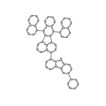 c1ccc(-c2ccc3sc4c(-c5ccc6c7c(cccc57)-c5c-6c(-c6cccc7ccccc67)c6ccccc6c5-c5cccc6ccccc56)cccc4c3c2)cc1